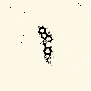 Cc1nc2cc(C(=O)N3CCC[C@H]4c5ccccc5C[C@H]43)ccc2[nH]1